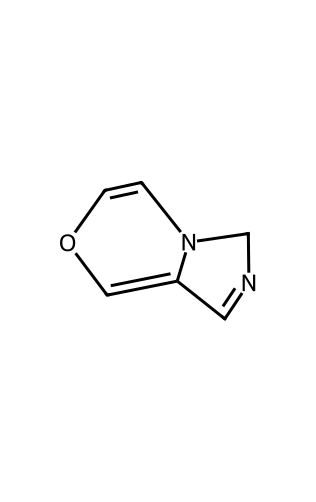 C1=CN2CN=CC2=CO1